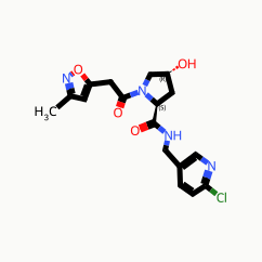 Cc1cc(CC(=O)N2C[C@H](O)C[C@H]2C(=O)NCc2ccc(Cl)nc2)on1